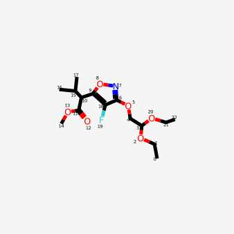 CCOC(COc1noc(C(C(=O)OC)C(C)C)c1F)OCC